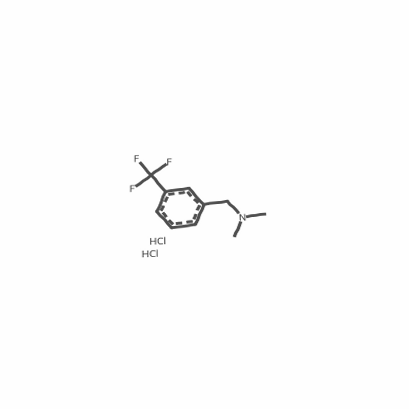 CN(C)Cc1cccc(C(F)(F)F)c1.Cl.Cl